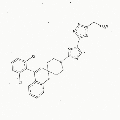 O=C(O)Cn1nnc(-c2cnc(N3CCC4(C=C(c5c(Cl)cccc5Cl)c5ccccc5O4)CC3)s2)n1